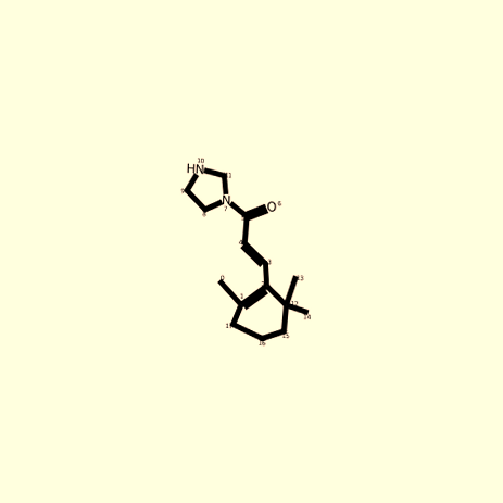 CC1=C(/C=C/C(=O)N2CCNC2)C(C)(C)CCC1